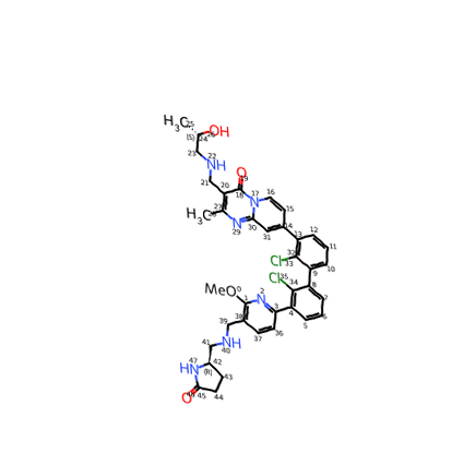 COc1nc(-c2cccc(-c3cccc(-c4ccn5c(=O)c(CNC[C@H](C)O)c(C)nc5c4)c3Cl)c2Cl)ccc1CNC[C@H]1CCC(=O)N1